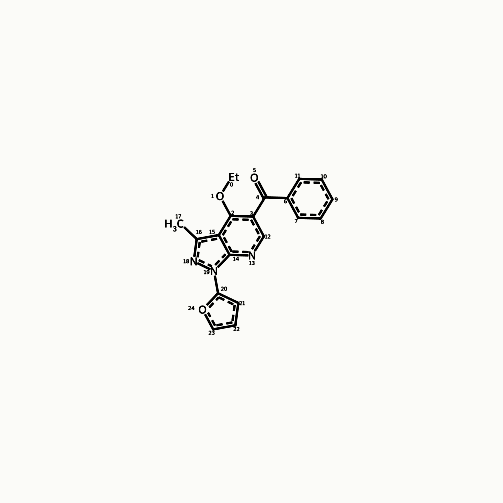 CCOc1c(C(=O)c2ccccc2)cnc2c1c(C)nn2-c1ccco1